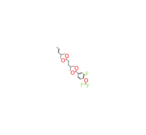 CC=CC1COC(CCC2COC(c3ccc(OC(F)F)c(F)c3)OC2)OC1